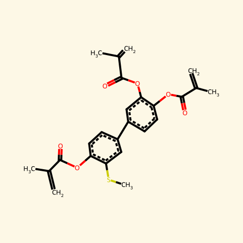 C=C(C)C(=O)Oc1ccc(-c2ccc(OC(=O)C(=C)C)c(SC)c2)cc1OC(=O)C(=C)C